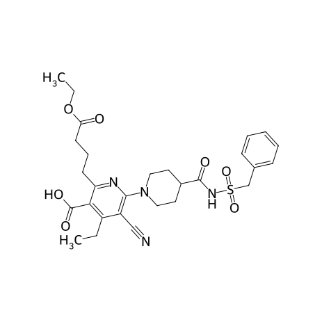 CCOC(=O)CCCc1nc(N2CCC(C(=O)NS(=O)(=O)Cc3ccccc3)CC2)c(C#N)c(CC)c1C(=O)O